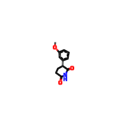 COc1cccc(C2CCC(=O)NC2=O)c1